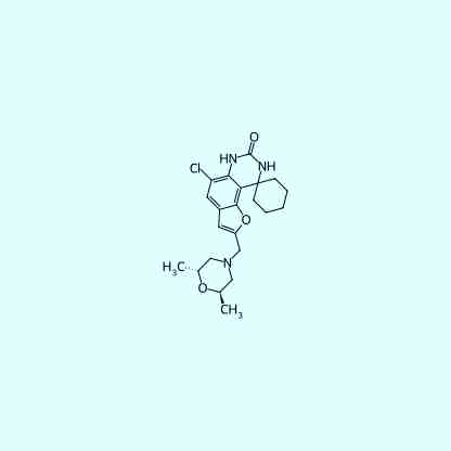 C[C@@H]1CN(Cc2cc3cc(Cl)c4c(c3o2)C2(CCCCC2)NC(=O)N4)C[C@@H](C)O1